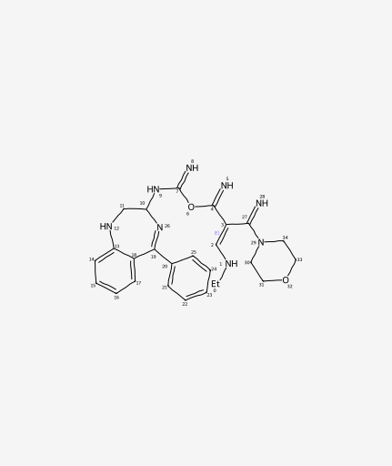 CCN/C=C(/C(=N)OC(=N)NC1CNc2ccccc2C(c2ccccc2)=N1)C(=N)N1CCOCC1